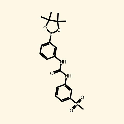 CC1(C)OB(c2cccc(NC(=O)Nc3cccc(S(C)(=O)=O)c3)c2)OC1(C)C